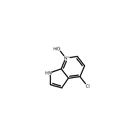 O[n+]1ccc(Cl)c2cc[nH]c21